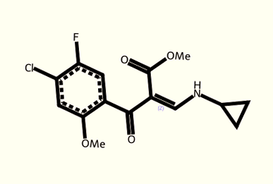 COC(=O)/C(=C\NC1CC1)C(=O)c1cc(F)c(Cl)cc1OC